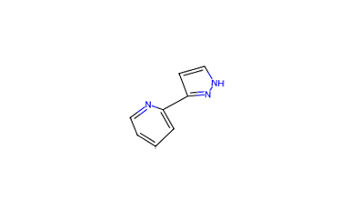 [c]1ccnc(-c2cc[nH]n2)c1